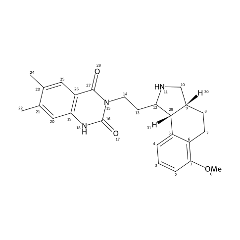 COc1cccc2c1CC[C@H]1CNC(CCn3c(=O)[nH]c4cc(C)c(C)cc4c3=O)[C@@H]21